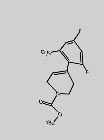 CC(C)(C)OC(=O)N1CC=C(c2c(F)cc(F)cc2[N+](=O)[O-])CC1